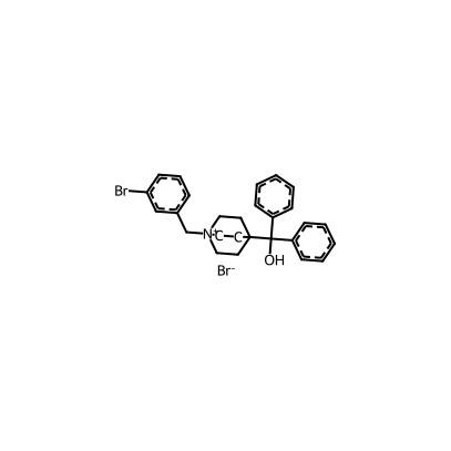 OC(c1ccccc1)(c1ccccc1)C12CC[N+](Cc3cccc(Br)c3)(CC1)CC2.[Br-]